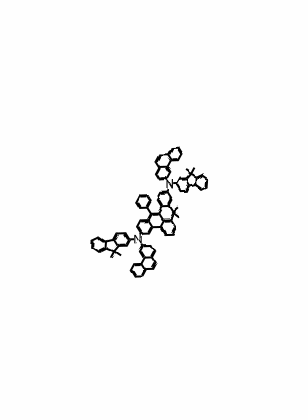 CC1(C)c2ccccc2-c2ccc(N(c3ccc4c(c3)C(C)(C)c3cccc5c3c-4c(-c3ccccc3)c3ccc(N(c4ccc6c(c4)C(C)(C)c4ccccc4-6)c4ccc6ccc7ccccc7c6c4)cc35)c3ccc4ccc5ccccc5c4c3)cc21